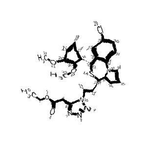 CCOC(=O)Cc1nnnn1CC[C@H]1S[C@H](c2cccc(OC)c2OC)c2cc(Cl)ccc2-n2cccc21